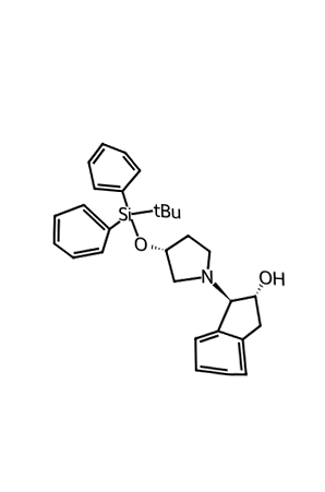 CC(C)(C)[Si](O[C@@H]1CCN([C@@H]2c3ccccc3C[C@H]2O)C1)(c1ccccc1)c1ccccc1